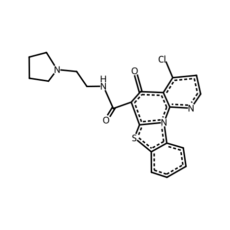 O=C(NCCN1CCCC1)c1c(=O)c2c(Cl)ccnc2n2c1sc1ccccc12